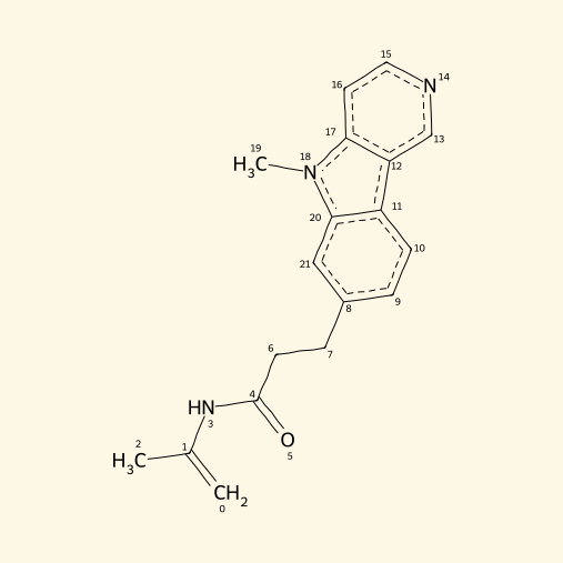 C=C(C)NC(=O)CCc1ccc2c3cnccc3n(C)c2c1